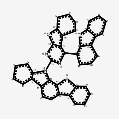 c1ccc2c(c1)oc1c(-c3nc(-n4c5ccccc5c5ccc6c7ccccc7sc6c54)nc4oc5ccccc5c34)cccc12